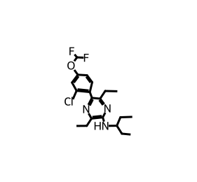 CCc1nc(-c2ccc(OC(F)F)cc2Cl)c(CC)nc1NC(CC)CC